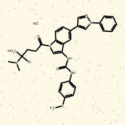 CCC(CCC(=O)n1cc(NC(=O)Nc2ccc(SC(F)(F)F)cc2)c2cc(-c3cnn(-c4ccccc4)c3)ccc21)(C(=O)O)N(C)C.Cl